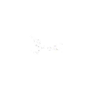 C=N/C=C(\C=C(/C)OC)c1ccc(CN[C@@H]2C[C@H](Nc3ncnc4sc(CC(F)(F)F)cc34)C[C@H](C(=O)N(C)C)C2)cc1